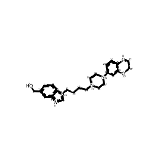 OCc1ccc2c(c1)ncn2CCCCN1CCN(c2ccc3c(c2)OCCO3)CC1